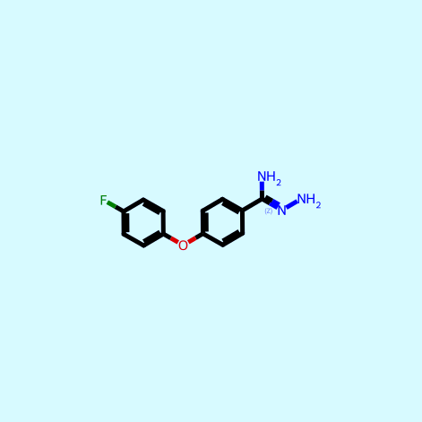 N/N=C(\N)c1ccc(Oc2ccc(F)cc2)cc1